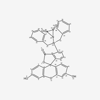 O=C1OC2(c3ccc(O)cc3Oc3cc(O)ccc32)c2cccc([N+](Cc3ccccc3)(Cc3ccccc3)n3c(=O)c3=O)c21